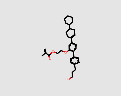 C=C(C)C(=O)OCCOc1cc(C2=CCC(C3CCCCC3)CC2)ccc1-c1ccc(CCCO)cc1